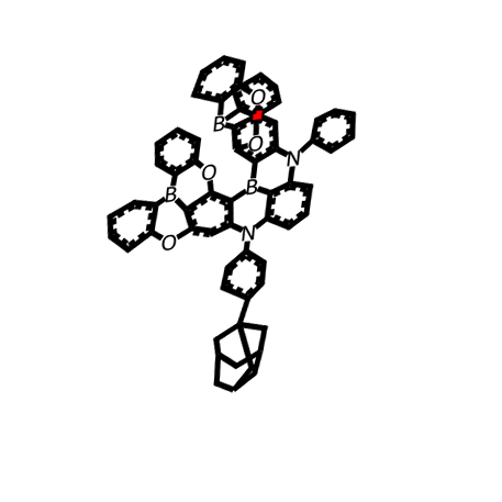 c1ccc(N2c3cccc4c3B(c3c2cc2c5c3Oc3ccccc3B5c3ccccc3O2)c2c(cc3c5c2Oc2ccccc2B5c2ccccc2O3)N4c2ccc(C34CC5CC(CC(C5)C3)C4)cc2)cc1